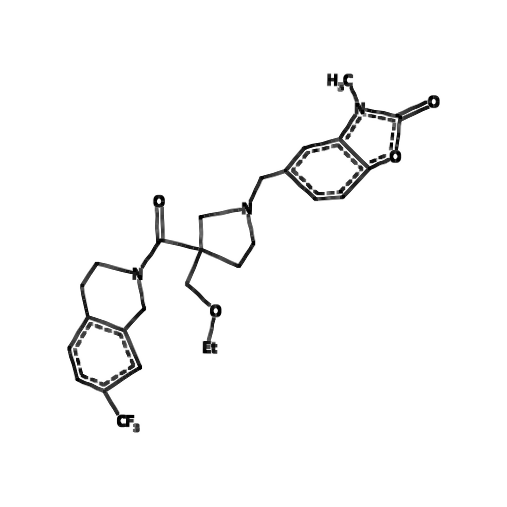 CCOCC1(C(=O)N2CCc3ccc(C(F)(F)F)cc3C2)CCN(Cc2ccc3oc(=O)n(C)c3c2)C1